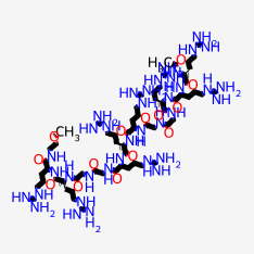 COCCNC(=O)C(CCCNC(=N)N)NC(=O)[C@@H](CCCNC(=N)N)NC(=O)CNC(=O)CNC(=O)C(CCCNC(=N)N)NC(=O)[C@@H](CCCNC(=N)N)NC(=O)C(CCCNC(=N)N)NC(=O)CNC(=O)CNC(=O)[C@@H](CCCNC(=N)N)NC(=O)C(CCCNC(=N)N)NC(=O)[C@@H](CCCNC(=N)N)NC(C)=O